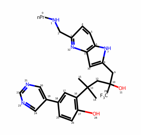 CCCNCc1ccc2[nH]c(CC(O)(CC(C)(C)c3cc(-c4cncnc4)ccc3O)C(F)(F)F)cc2n1